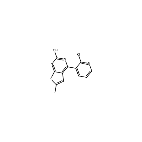 Cc1cc2c(-c3cccnc3Cl)nc(O)nc2s1